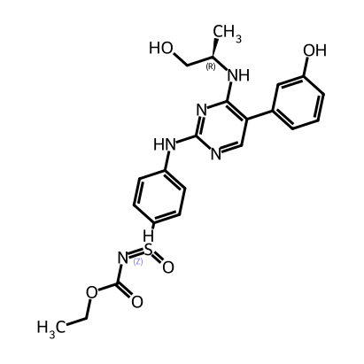 CCOC(=O)/N=[SH](=O)/c1ccc(Nc2ncc(-c3cccc(O)c3)c(N[C@H](C)CO)n2)cc1